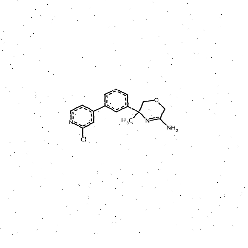 CC1(c2cccc(-c3ccnc(Cl)c3)c2)COCC(N)=N1